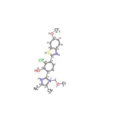 CCOCn1c(-c2ccc(-c3nc4ccc(OC(F)(F)F)cc4s3)c(Cl)c2O)nc(C#N)c1C#N